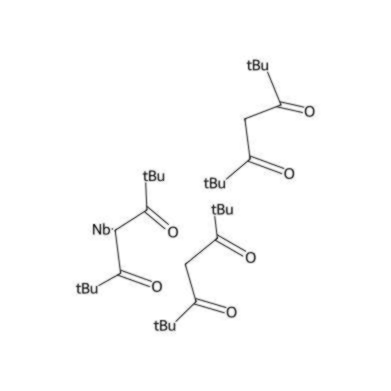 CC(C)(C)C(=O)CC(=O)C(C)(C)C.CC(C)(C)C(=O)CC(=O)C(C)(C)C.CC(C)(C)C(=O)CC(=O)C(C)(C)C.[Nb]